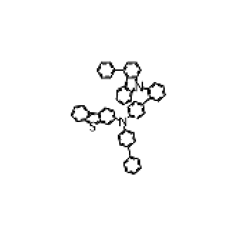 c1ccc(-c2ccc(N(c3ccc(-c4ccccc4-n4c5ccccc5c5c(-c6ccccc6)cccc54)cc3)c3ccc4c(c3)sc3ccccc34)cc2)cc1